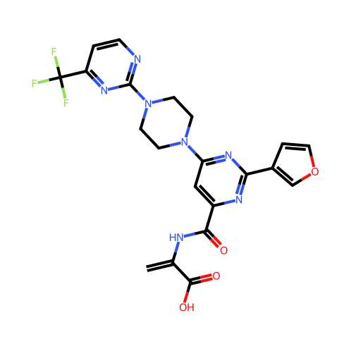 C=C(NC(=O)c1cc(N2CCN(c3nccc(C(F)(F)F)n3)CC2)nc(-c2ccoc2)n1)C(=O)O